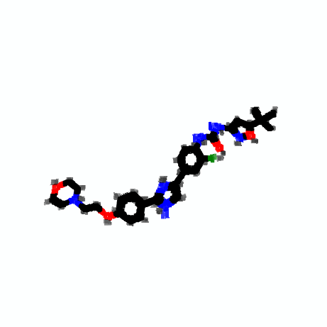 CC(C)(C)c1cc(NC(=O)Nc2ccc(-c3c[nH]c(-c4ccc(OCCN5CCOCC5)cc4)n3)cc2F)no1